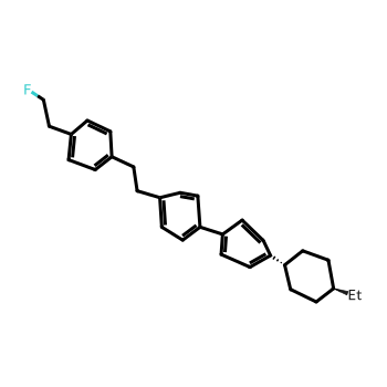 CC[C@H]1CC[C@H](c2ccc(-c3ccc(CCc4ccc(CCF)cc4)cc3)cc2)CC1